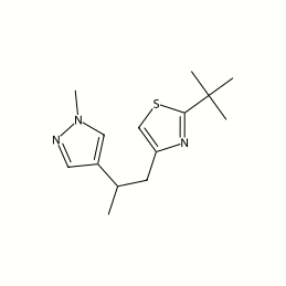 CC(Cc1csc(C(C)(C)C)n1)c1cnn(C)c1